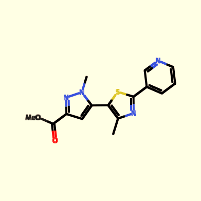 COC(=O)c1cc(-c2sc(-c3cccnc3)nc2C)n(C)n1